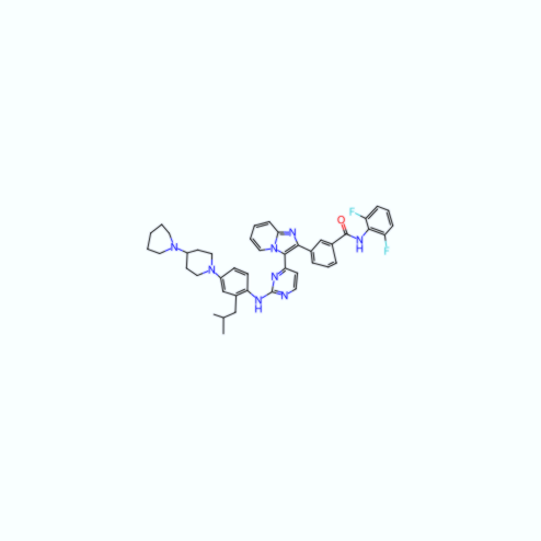 CC(C)Cc1cc(N2CCC(N3CCCCC3)CC2)ccc1Nc1nccc(-c2c(-c3cccc(C(=O)Nc4c(F)cccc4F)c3)nc3ccccn23)n1